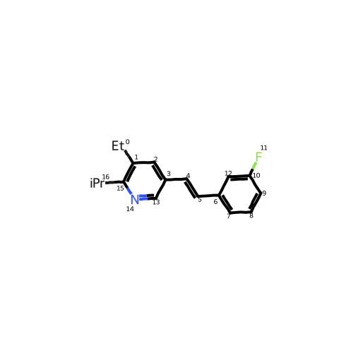 CCc1cc(/C=C/c2cccc(F)c2)cnc1C(C)C